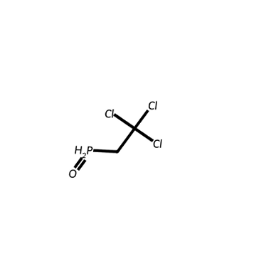 O=[PH2]CC(Cl)(Cl)Cl